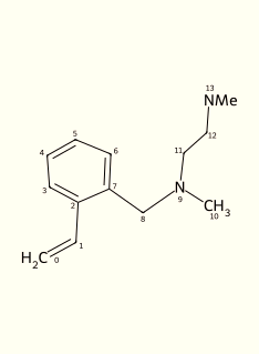 C=Cc1ccccc1CN(C)CCNC